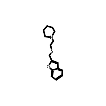 c1ccc2oc(CSCCN3CCCCC3)cc2c1